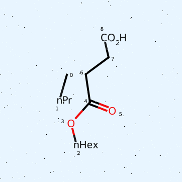 CCCC.CCCCCCOC(=O)CCC(=O)O